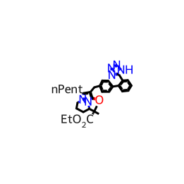 CCCCCc1c(Cc2ccc(-c3ccccc3-c3nnn[nH]3)cc2)c(=O)n2n1CCCC2C(C)(C)C(=O)OCC